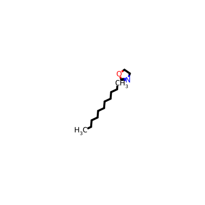 C1=NCCO1.CCCCCCCCCCC